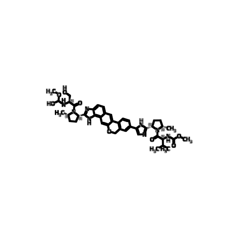 COC(=O)N[C@H](C(=O)N1[C@@H](C)CC[C@H]1c1ncc(-c2ccc3c(c2)COc2cc4c(ccc5nc([C@@H]6CC[C@H](C)N6C(=O)[C@H](CO)NC(O)OC)[nH]c54)cc2-3)[nH]1)C(C)C